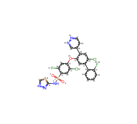 O=S(=O)(Nc1nncs1)c1cc(Cl)c(Oc2cc(-c3ccccc3F)c(Cl)cc2-c2ccnnc2)cc1F